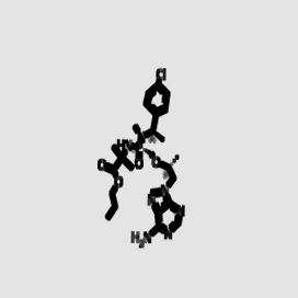 CCCOC(=O)C(C)(C)N[P@@](=O)(CO[C@H](C)Cn1cnc2c(N)ncnc21)N(C)[C@H](C)c1ccc(Cl)cc1